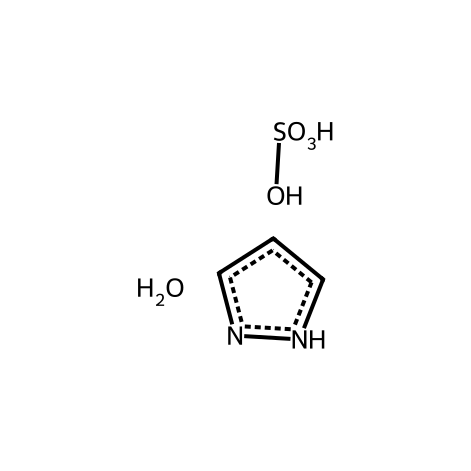 O.O=S(=O)(O)O.c1cn[nH]c1